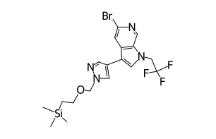 C[Si](C)(C)CCOCn1cc(-c2cn(CC(F)(F)F)c3cnc(Br)cc23)cn1